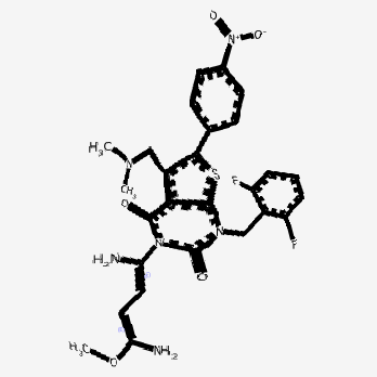 CO/C(N)=C/C=C(\N)n1c(=O)c2c(CN(C)C)c(-c3ccc([N+](=O)[O-])cc3)sc2n(Cc2c(F)cccc2F)c1=O